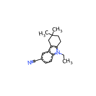 CCn1c2c(c3cc(C#N)ccc31)CC(C)(C)CC2